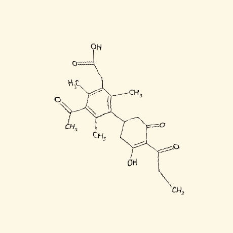 CCC(=O)C1=C(O)CC(c2c(C)c(CC(=O)O)c(C)c(C(C)=O)c2C)CC1=O